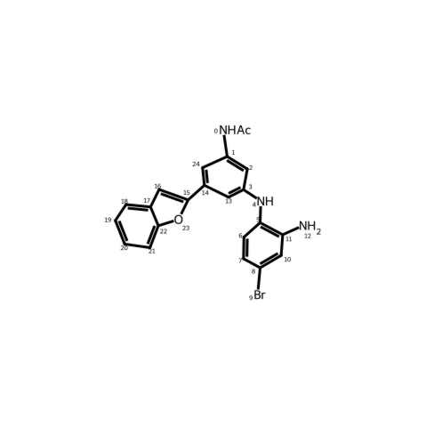 CC(=O)Nc1cc(Nc2ccc(Br)cc2N)cc(-c2cc3ccccc3o2)c1